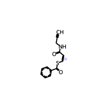 C#CCNC(=O)/C=C\SC(=O)c1ccccc1